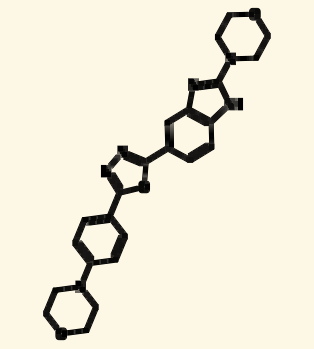 c1cc(N2CCOCC2)ccc1-c1nnc(-c2ccc3[nH]c(N4CCOCC4)nc3c2)o1